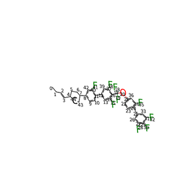 CC/C=C/C1CCC(c2ccc(-c3cc(F)c(C(F)(F)Oc4ccc(-c5cc(F)c(F)c(F)c5)c(F)c4)c(F)c3)c(F)c2)CC1